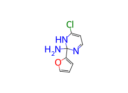 NC1(c2ccco2)N=CC=C(Cl)N1